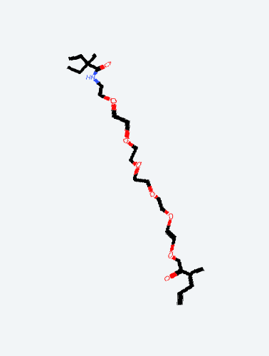 CCCC(C)C(=O)COCCOCCOCCOCCOCCOCCNC(=O)C(C)(CC)CC